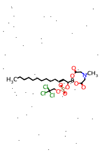 CCCCCCCCCC/C=C/C(OS(=O)(=O)OCC(Cl)(Cl)Cl)B1OC(=O)CN(C)CC(=O)O1